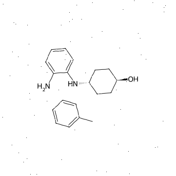 Cc1ccccc1.Nc1ccccc1N[C@H]1CC[C@H](O)CC1